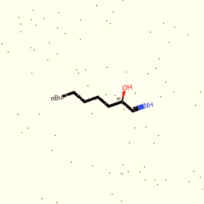 CCCCCCCC[C@@H](O)C=N